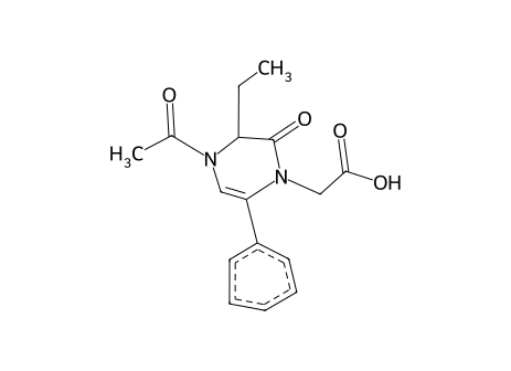 CCC1C(=O)N(CC(=O)O)C(c2ccccc2)=CN1C(C)=O